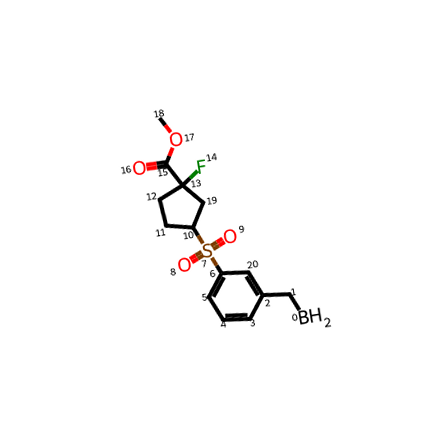 BCc1cccc(S(=O)(=O)C2CCC(F)(C(=O)OC)C2)c1